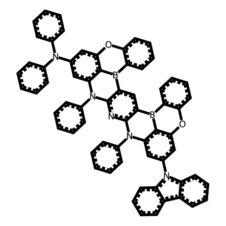 c1ccc(N(c2ccccc2)c2cc3c4c(c2)N(c2ccccc2)c2nc5c(cc2B4c2ccccc2O3)B2c3ccccc3Oc3cc(-n4c6ccccc6c6ccccc64)cc(c32)N5c2ccccc2)cc1